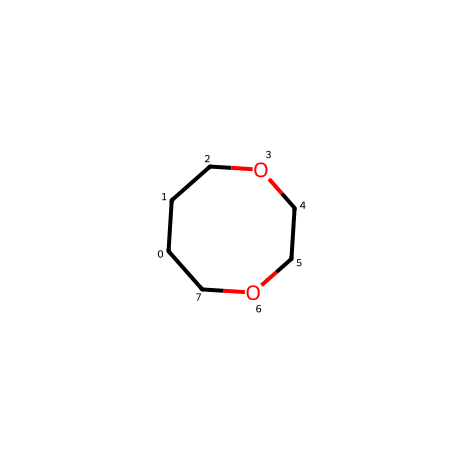 C1CCOCCOC1